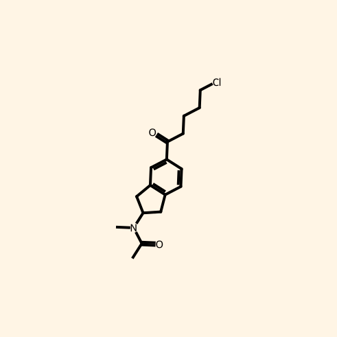 CC(=O)N(C)C1Cc2ccc(C(=O)CCCCCl)cc2C1